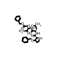 CC(C)C[C@@H](NC(=O)[C@H]1NCCC1OCc1ccccc1)C(=O)N[C@H](CC(=O)OCc1ccccc1)C(N)=O